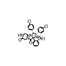 CCOc1ccccc1C1(C(=O)N2CCNC(=O)C2)N[C@H](c2ccc(Cl)cc2)[C@H](c2ccc(Cl)cc2)N1